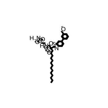 CCCCCCCCCCCCCCC(C(=O)NCCS(N)(=O)=O)(c1nc2ccc(-c3cccc(COC)c3)cc2s1)S(C)(=O)=O